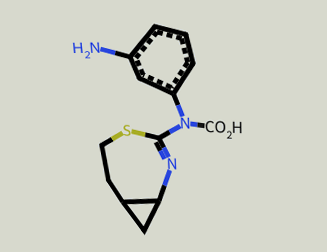 Nc1cccc(N(C(=O)O)C2=NC3CC3CCS2)c1